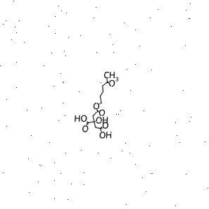 CC(=O)CCCCOC(=O)CC(O)(CC(=O)O)C(=O)O